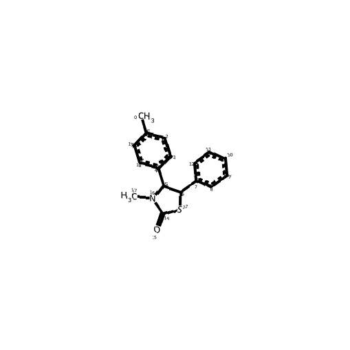 Cc1ccc(C2C(c3ccccc3)SC(=O)N2C)cc1